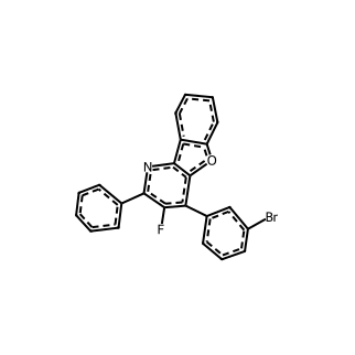 Fc1c(-c2ccccc2)nc2c(oc3ccccc32)c1-c1cccc(Br)c1